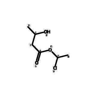 CC(O)CC(=O)OC(C)Cl